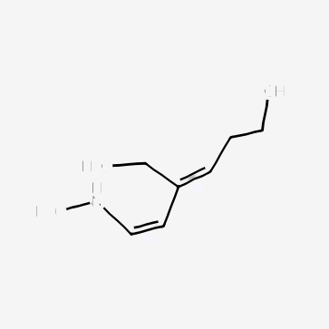 CCC/C=C(/C=C\NC)CC